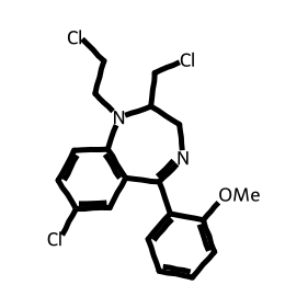 COc1ccccc1C1=NCC(CCl)N(CCCl)c2ccc(Cl)cc21